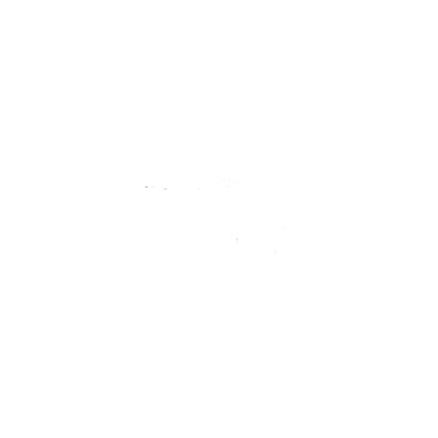 CCOC(C)N(CCC[Si](C)(OC)OC)C(C)OCC